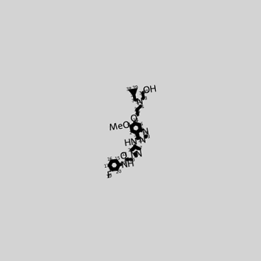 COc1cc2c(Nc3cnn(CC(=O)Nc4cccc(F)c4)c3)ncnc2cc1OCCCN(CCO)CC1CC1